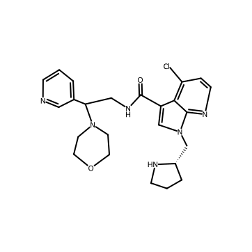 O=C(NCC(c1cccnc1)N1CCOCC1)c1cn(C[C@@H]2CCCN2)c2nccc(Cl)c12